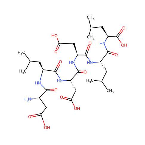 CC(C)C[C@H](NC(=O)[C@H](CC(C)C)NC(=O)[C@H](CC(=O)O)NC(=O)[C@H](CC(=O)O)NC(=O)[C@H](CC(C)C)NC(=O)[C@@H](N)CC(=O)O)C(=O)O